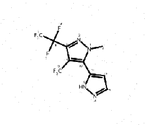 Cn1nc(C(F)(F)C(F)(F)F)c(C(F)(F)F)c1-c1ccn[nH]1